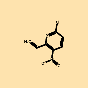 C=Cc1nc(Cl)ccc1[N+](=O)[O-]